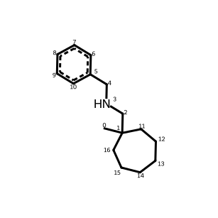 CC1(CNCc2ccccc2)CCCCCC1